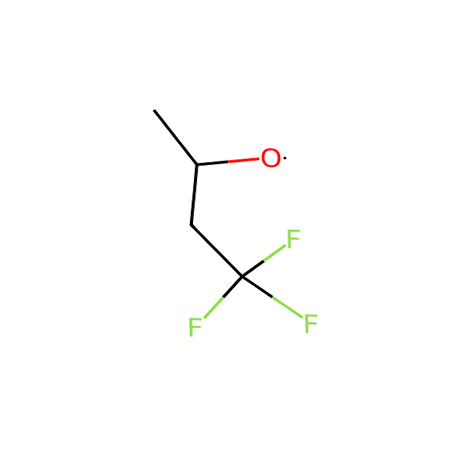 CC([O])CC(F)(F)F